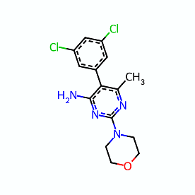 Cc1nc(N2CCOCC2)nc(N)c1-c1cc(Cl)cc(Cl)c1